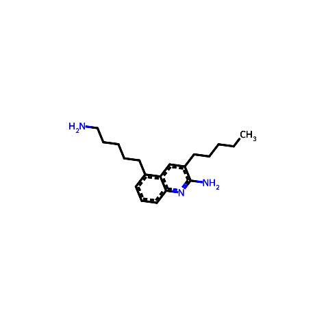 CCCCCc1cc2c(CCCCCN)cccc2nc1N